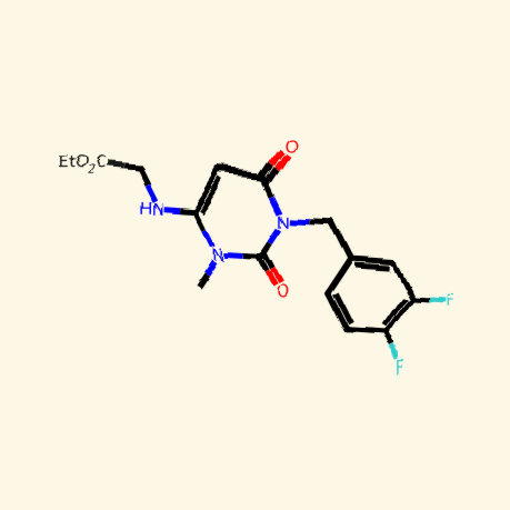 CCOC(=O)CNc1cc(=O)n(Cc2ccc(F)c(F)c2)c(=O)n1C